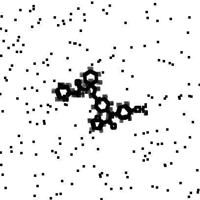 Cc1ccc(N(C(=O)c2ccco2)C2CCN(CCC3(CC(=O)Nc4cnccn4)CCCCC3)CC2)cc1